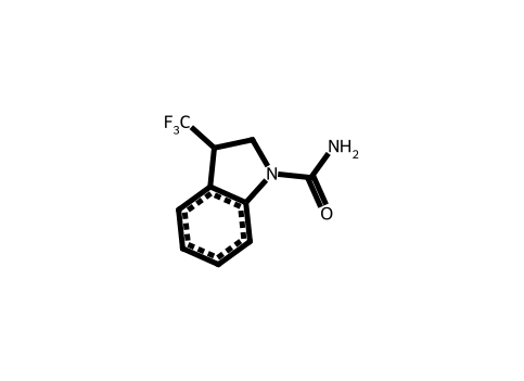 NC(=O)N1CC(C(F)(F)F)c2ccccc21